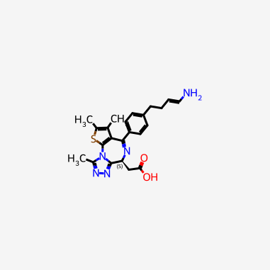 Cc1sc2c(c1C)C(c1ccc(CCC=CN)cc1)=N[C@@H](CC(=O)O)c1nnc(C)n1-2